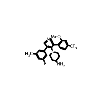 COc1cc(C(F)(F)F)ccc1-c1cncc(-c2cc(C)cc(F)c2)c1N1CCC(N)CC1